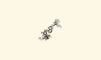 Cc1nc(COc2cnc3c(Nc4cc(F)c(F)c([C@@]5(C)N=C(N)S[C@@]6(C(F)F)C[C@@H]56)c4)nccc3n2)c(C)o1